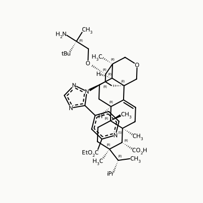 CCOC(=O)c1cc(-c2ncnn2[C@@H]2C[C@@]34COC[C@@](C)([C@@H]3CC[C@H]3C4=CC[C@@]4(C)[C@H](C(=O)O)[C@@](C)([C@H](C)C(C)C)CC[C@]34C)[C@H]2OC[C@](C)(N)C(C)(C)C)ccn1